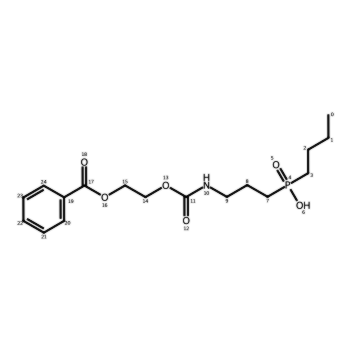 CCCCP(=O)(O)CCCNC(=O)OCCOC(=O)c1ccccc1